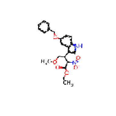 CCOC(=O)C(C(COC)c1c[nH]c2ccc(OCc3ccccc3)cc12)[N+](=O)[O-]